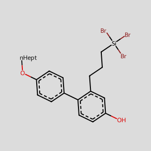 CCCCCCCOc1ccc(-c2ccc(O)cc2CCC[Si](Br)(Br)Br)cc1